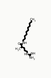 CCCCCCCCCCCNC(=O)C(C)CCCNC(=N)N